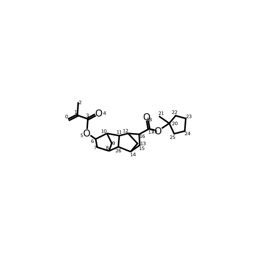 C=C(C)C(=O)OC1CC2CC1C1C3CC(CC3C(=O)OC3(C)CCCC3)C21